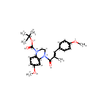 COc1ccc(C=C(C)C(=O)N2CCN(C(=O)OC(C)(C)C)c3ccc(OC)cc32)cc1